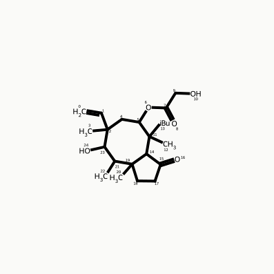 C=CC1(C)CC(OC(=O)CO)C(C)(C(C)CC)C2C(=O)CCC2(C)C(C)C1O